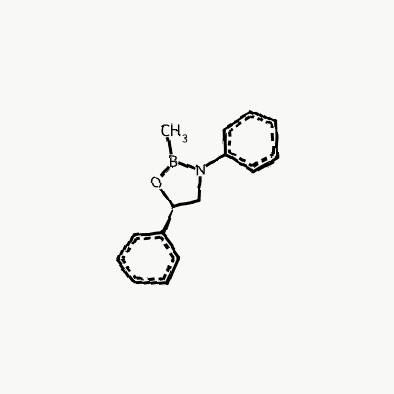 CB1O[C@H](c2ccccc2)CN1c1ccccc1